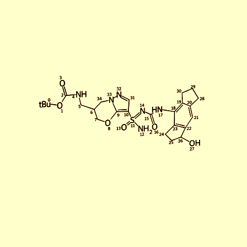 CC(C)(C)OC(=O)NCC1COc2c(S(N)(=O)=NC(=O)Nc3c4c(cc5c3CCC5O)CCC4)cnn2C1